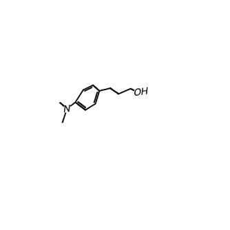 CN(C)c1ccc(CCCO)cc1